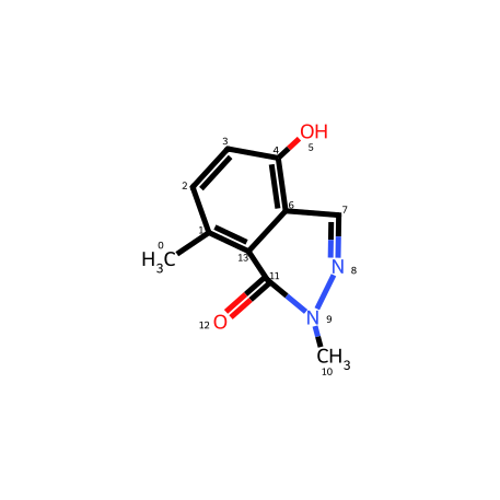 Cc1ccc(O)c2cnn(C)c(=O)c12